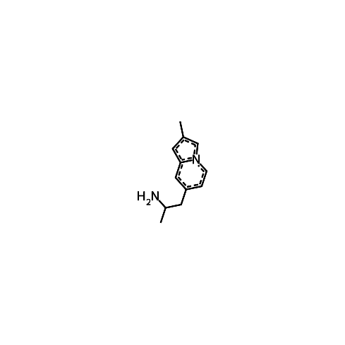 Cc1cc2cc(CC(C)N)ccn2c1